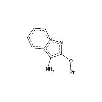 CC(C)Oc1nn2ccccc2c1N